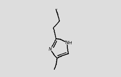 [CH2]CCc1nc(C)c[nH]1